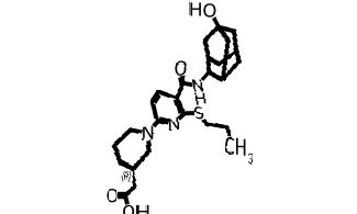 CCCSc1nc(N2CCC[C@H](CC(=O)O)C2)ccc1C(=O)NC1C2CC3CC1CC(O)(C3)C2